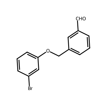 O=Cc1cccc(COc2cccc(Br)c2)c1